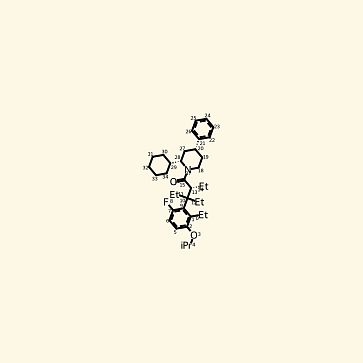 CCc1c(OC(C)C)ccc(F)c1C(CC)(CC)[C@@H](CC)C(=O)N1CC[C@@H](c2ccccc2)C[C@H]1C1CCCCC1